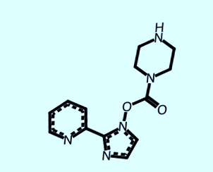 O=C(On1ccnc1-c1ccccn1)N1CCNCC1